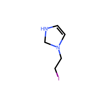 ICCN1C=CNC1